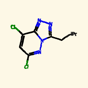 CC(C)Cc1nnc2c(Cl)cc(Cl)nn12